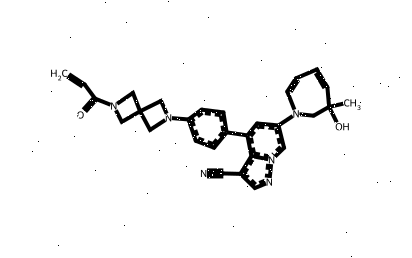 C=CC(=O)N1CC2(C1)CN(c1ccc(-c3cc(N4C=CC=CC(C)(O)C4)cn4ncc(C#N)c34)cc1)C2